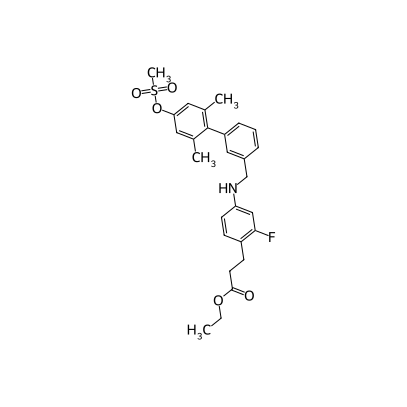 CCOC(=O)CCc1ccc(NCc2cccc(-c3c(C)cc(OS(C)(=O)=O)cc3C)c2)cc1F